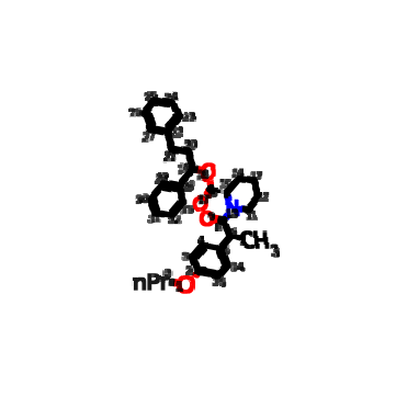 CCCOc1ccc([C@H](C)C(=O)N2CCCC[C@H]2C(=O)OC(CCc2ccccc2)c2ccccc2)cc1